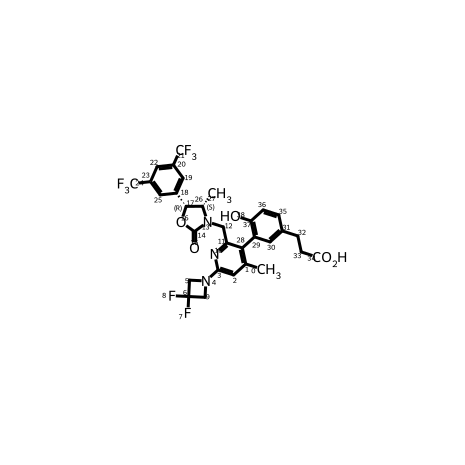 Cc1cc(N2CC(F)(F)C2)nc(CN2C(=O)O[C@H](c3cc(C(F)(F)F)cc(C(F)(F)F)c3)[C@@H]2C)c1-c1cc(CCC(=O)O)ccc1O